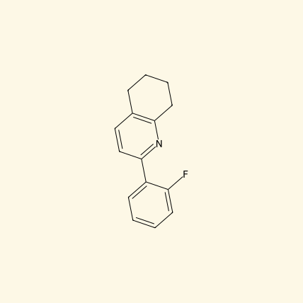 Fc1ccccc1-c1ccc2c(n1)CCCC2